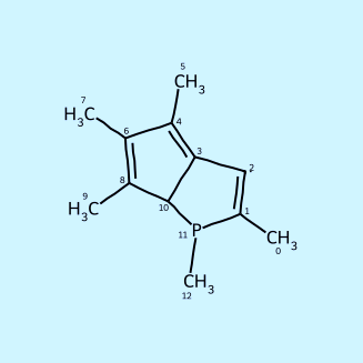 CC1=[C]C2=C(C)C(C)=C(C)C2P1C